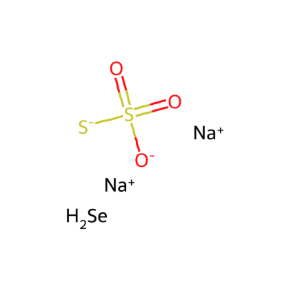 O=S(=O)([O-])[S-].[Na+].[Na+].[SeH2]